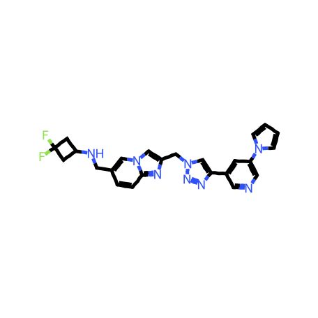 FC1(F)CC(NCc2ccc3nc(Cn4cc(-c5cncc(-n6cccc6)c5)nn4)cn3c2)C1